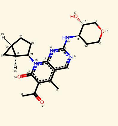 CC(=O)c1c(C)c2cnc(N[C@@H]3CCOC[C@H]3O)nc2n([C@@H]2CC[C@@H]3C[C@@H]32)c1=O